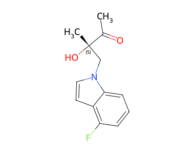 CC(=O)[C@@](C)(O)Cn1ccc2c(F)cccc21